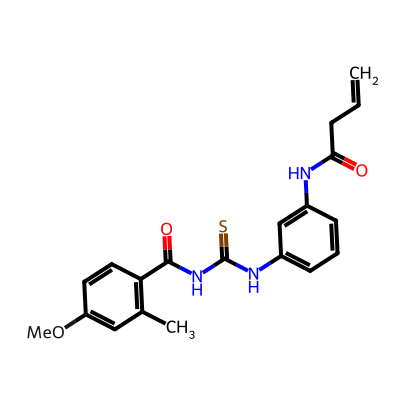 C=CCC(=O)Nc1cccc(NC(=S)NC(=O)c2ccc(OC)cc2C)c1